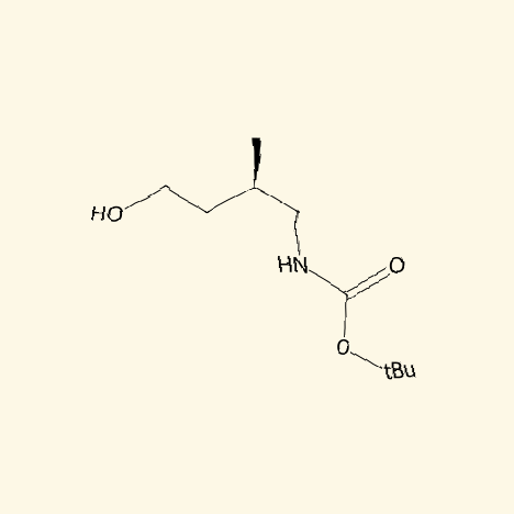 C[C@H](CCO)CNC(=O)OC(C)(C)C